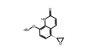 CCCCOc1ccc([C@@H]2CO2)c2ccc(=O)[nH]c12